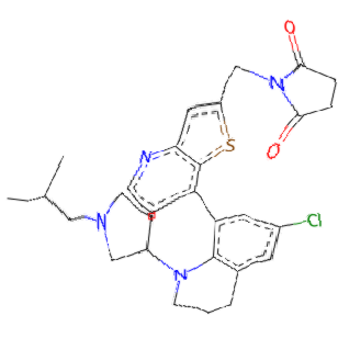 CC(C)CN1CCC(N2CCCc3cc(Cl)cc(-c4ccnc5cc(CN6C(=O)CCC6=O)sc45)c32)C1